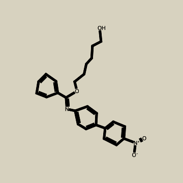 O=[N+]([O-])c1ccc(-c2ccc(N=C(OCCCCCCO)c3ccccc3)cc2)cc1